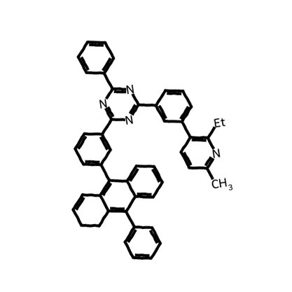 CCc1nc(C)ccc1-c1cccc(-c2nc(-c3ccccc3)nc(-c3cccc(-c4c5c(c(-c6ccccc6)c6ccccc46)CCC=C5)c3)n2)c1